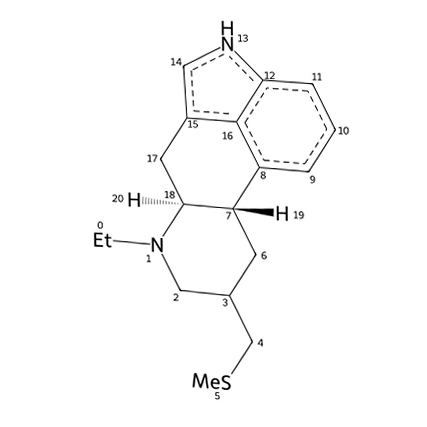 CCN1CC(CSC)C[C@H]2c3cccc4[nH]cc(c34)C[C@@H]21